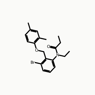 CCC(=O)N(CC)c1cccc(Br)c1COc1ccc(C)cc1C